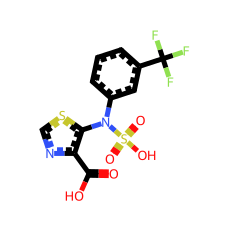 O=C(O)c1ncsc1N(c1cccc(C(F)(F)F)c1)S(=O)(=O)O